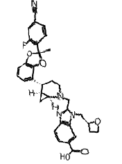 C[C@]1(c2ccc(C#N)cc2F)Oc2cccc([C@@H]3CCN(Cc4nc5ccc(C(=O)O)cc5n4C[C@@H]4CCO4)[C@H]4C[C@@H]34)c2O1